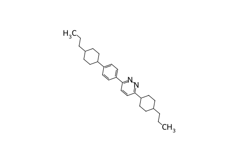 CCCC1CCC(c2ccc(-c3ccc(C4CCC(CCC)CC4)nn3)cc2)CC1